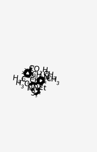 CCC1CCSC2=NC(C)=C(C)C(c3ccc(N(C)C)cc3)N21.Cc1ccc(C(=O)O)c(C)c1